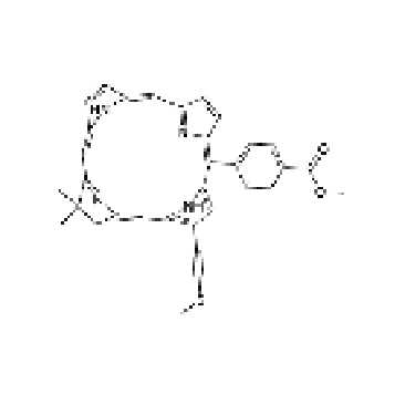 COC(=O)c1ccc(-c2c3nc(cc4ccc(cc5nc(cc6[nH]c2cc6C#CSI)CC5(C)C)[nH]4)C=C3)cc1